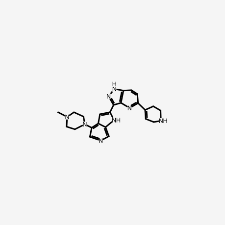 CN1CCN(c2cncc3[nH]c(-c4n[nH]c5ccc(C6=CCNCC6)nc45)cc23)CC1